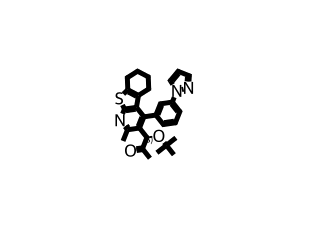 CC(=O)[C@@H](OC(C)(C)C)c1c(C)nc2sc3c(c2c1-c1cccc(-n2cccn2)c1)CCCC3